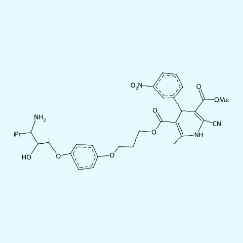 COC(=O)C1=C(C#N)NC(C)=C(C(=O)OCCCOc2ccc(OCC(O)C(N)C(C)C)cc2)C1c1cccc([N+](=O)[O-])c1